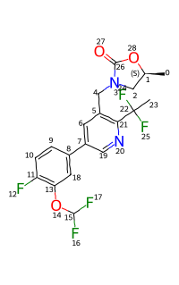 C[C@H]1CN(Cc2cc(-c3ccc(F)c(OC(F)F)c3)cnc2C(C)(F)F)C(=O)O1